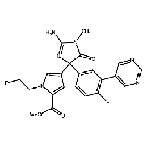 COC(=O)c1cc(C2(c3ccc(F)c(-c4cncnc4)c3)N=C(N)N(C)C2=O)cn1CCF